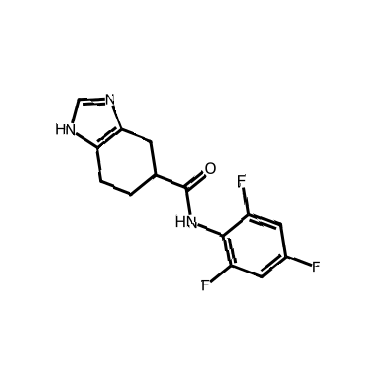 O=C(Nc1c(F)cc(F)cc1F)C1CCc2[nH]cnc2C1